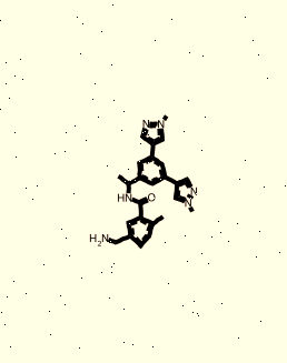 Cc1ccc(CN)cc1C(=O)NC(C)c1cc(-c2cnn(C)c2)cc(-c2cnn(C)c2)c1